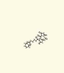 O=C[C@H]1NCC(=S)C1C(=O)[C@H]1NCC(=S)C1C(=O)CCCCc1cc2ccccc2o1